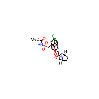 COC(=O)NS(=O)(=O)Cc1cc(Cl)ccc1OCC(=O)N1[C@@H]2CC[C@H]1CC(Oc1ccc(F)cc1)C2